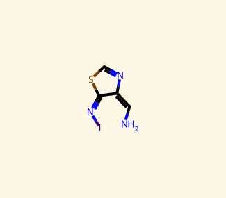 N/C=C1/N=CS/C1=N/I